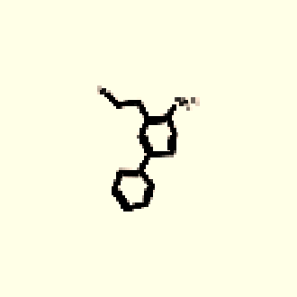 CCOC(=O)c1ccc(-c2ccccc2)cc1CCBr